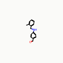 Cc1ccccc1CNc1ccc(C=O)cc1